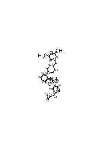 C[C@@H]1CN(CC2CCN(c3ccccc3NS(=O)(=O)c3cnn(CC4CC4)c3)CC2)C[C@H](C)O1